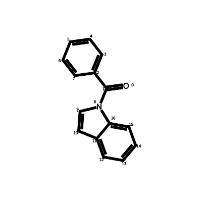 O=C(c1ccccc1)n1[c]cc2ccccc21